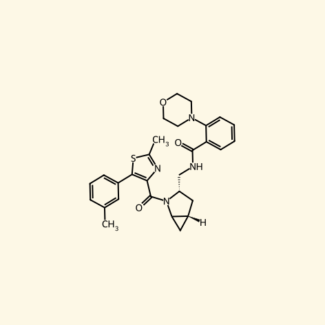 Cc1cccc(-c2sc(C)nc2C(=O)N2C3C[C@H]3C[C@H]2CNC(=O)c2ccccc2N2CCOCC2)c1